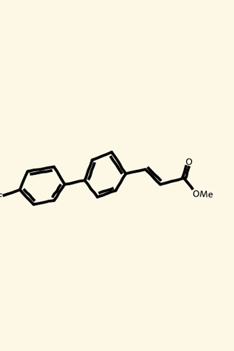 COC(=O)/C=C/c1ccc(-c2ccc(F)cc2)cc1